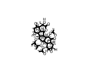 CC(=O)O[C@H]1[C@H]2[C@H]([C@@H]3[C@H]4OC(=O)[C@@](C)(O)[C@@]5(C)C(=O)C[C@@H](C)[C@@H]([C@H]45)[C@@]3(C)[C@H]1OC(C)=O)[C@@H](OC(C)=O)C(=O)[C@H]1C[C@@H]3O[C@@H]3[C@H](OC(C)=O)[C@]21C